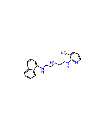 N#Cc1cccnc1NCCNCCNc1cccc2ccccc12